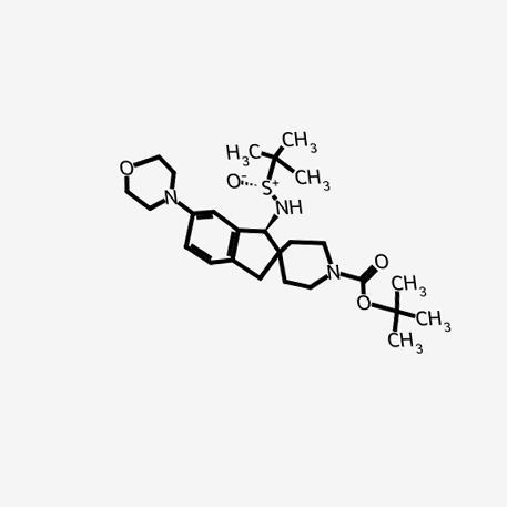 CC(C)(C)OC(=O)N1CCC2(CC1)Cc1ccc(N3CCOCC3)cc1[C@H]2N[S@+]([O-])C(C)(C)C